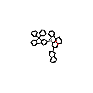 c1ccc(-c2ccccc2N(c2cccc(-c3ccc4ccccc4c3)c2)c2ccc3c(c2)C(c2ccccc2)(c2ccccc2)c2ccccc2-3)cc1